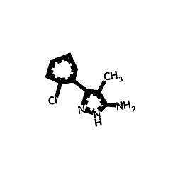 Cc1c(-c2ccccc2Cl)n[nH]c1N